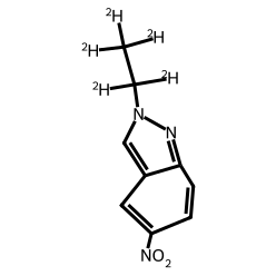 [2H]C([2H])([2H])C([2H])([2H])n1cc2cc([N+](=O)[O-])ccc2n1